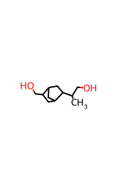 CC(CO)C1CC2CC1CC2CO